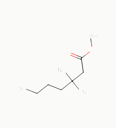 CC(C)(C)OC(=O)CC(C#N)(C#N)CCCC#N